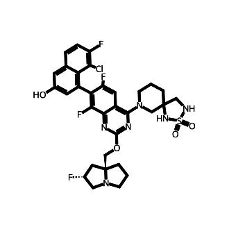 O=S1(=O)NCC2(CCCN(c3nc(OC[C@@]45CCCN4C[C@H](F)C5)nc4c(F)c(-c5cc(O)cc6ccc(F)c(Cl)c56)c(F)cc34)C2)N1